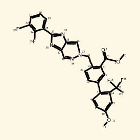 COC(=O)c1cc(-c2ccc(OC)cc2C(F)(F)F)ccc1Cn1cc2nc(-c3cccc(F)c3F)nc-2cn1